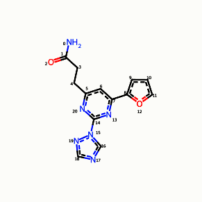 NC(=O)CCc1cc(-c2ccco2)nc(-n2cncn2)n1